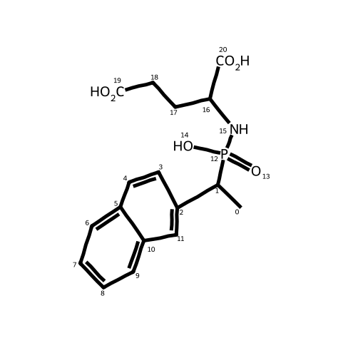 CC(c1ccc2ccccc2c1)P(=O)(O)NC(CCC(=O)O)C(=O)O